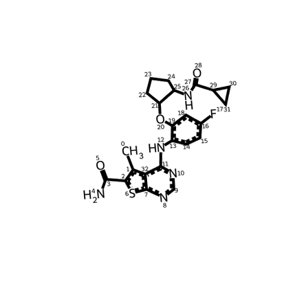 Cc1c(C(N)=O)sc2ncnc(Nc3ccc(F)cc3OC3CCCC3NC(=O)C3CC3)c12